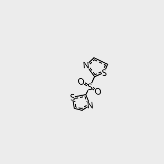 O=S(=O)(c1nccs1)c1nccs1